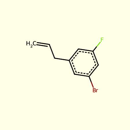 C=CCc1cc(F)cc(Br)c1